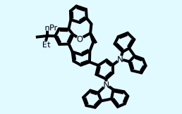 CCCC(C)(CC)c1cc2c3c(c1)-c1ccc(-c4cc(-n5c6ccccc6c6ccccc65)cc(-n5c6ccccc6c6ccccc65)c4)c(c1)CC(C)(Cc1cccc-2c1)O3